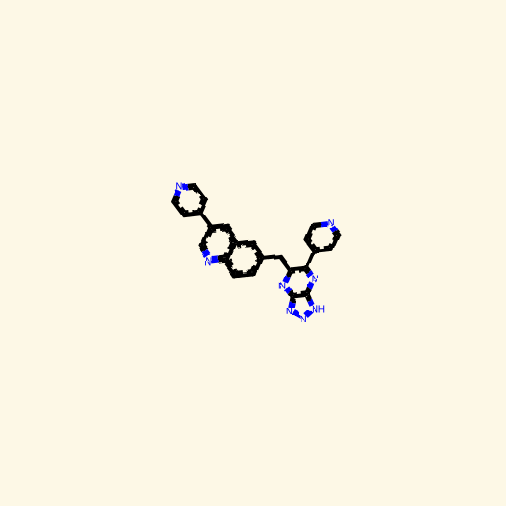 c1cc(-c2cnc3ccc(Cc4nc5nn[nH]c5nc4-c4ccncc4)cc3c2)ccn1